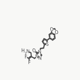 NCC(Cn1ncn(CCc2ccc(-c3ccc4c(c3)OCO4)s2)c1=O)=C(F)F